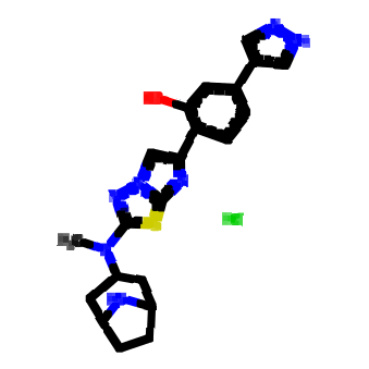 CN(c1nn2cc(-c3ccc(-c4cn[nH]c4)cc3O)nc2s1)C1CC2CCC(C1)N2.Cl